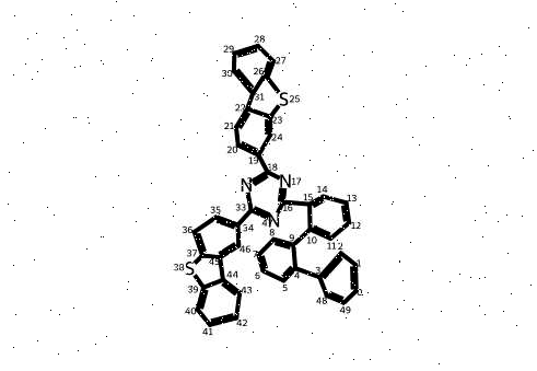 c1ccc(-c2ccccc2-c2ccccc2-c2nc(-c3ccc4c(c3)sc3ccccc34)nc(-c3ccc4sc5ccccc5c4c3)n2)cc1